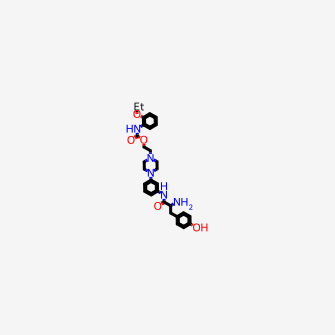 CCOc1ccccc1NC(=O)OCCN1CCN(c2cccc(NC(=O)C(N)Cc3ccc(O)cc3)c2)CC1